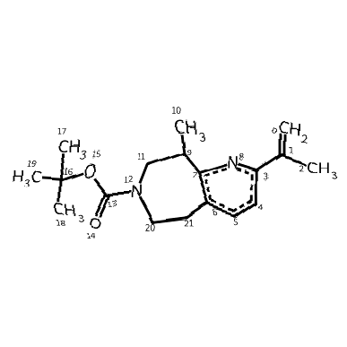 C=C(C)c1ccc2c(n1)C(C)CN(C(=O)OC(C)(C)C)CC2